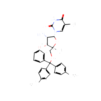 COc1ccc(C(OC[C@@]2(C)O[C@@H](n3cc(C)c(=O)[nH]c3=O)[C@H](N)[C@@H]2O)(c2ccccc2)c2ccc(OC)cc2)cc1